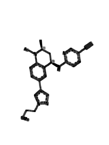 C#Cc1ccc(N[C@@H]2C[C@H](C)N(C(C)=O)c3ccc(-c4cnn(CCOC)c4)cc32)nc1